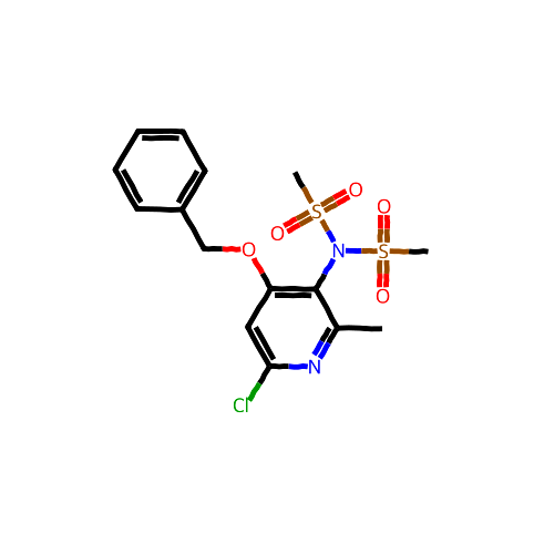 Cc1nc(Cl)cc(OCc2ccccc2)c1N(S(C)(=O)=O)S(C)(=O)=O